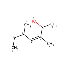 CCC(C)C=C(C)C(C)O